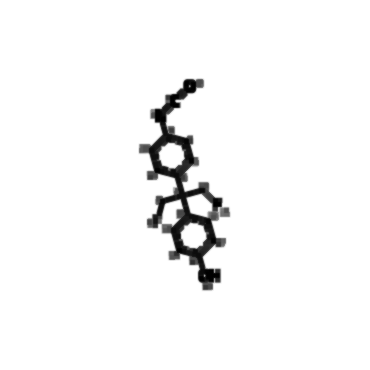 O=C=Nc1ccc(C(CF)(CF)c2ccc(O)cc2)cc1